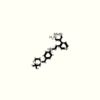 CNC/C(=C\N)c1ccncc1/C=C/Nc1ccc(CN2CCOC(C)(C)C2)cc1